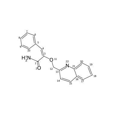 NC(=O)/C(=C\c1ccccc1)OCc1ccc2ccccc2n1